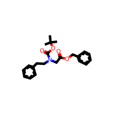 CC(C)(C)OC(=O)N(CCc1ccccc1)CC(=O)OCc1ccccc1